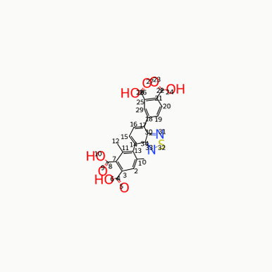 Cc1cc(C(=O)O)c(C(=O)O)c(C)c1-c1ccc(-c2ccc(C(=O)O)c(C(=O)O)c2)c2nsnc12